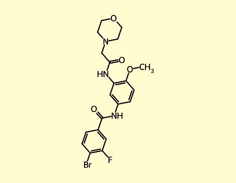 COc1ccc(NC(=O)c2ccc(Br)c(F)c2)cc1NC(=O)CN1CCOCC1